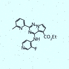 CCOC(=O)c1ccn2nc(-c3cccc(C)n3)nc(Nc3ccncc3F)c12